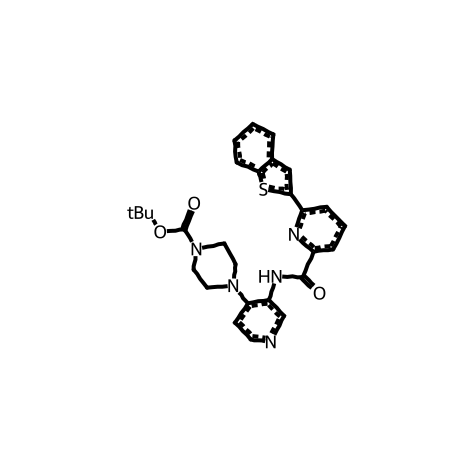 CC(C)(C)OC(=O)N1CCN(c2ccncc2NC(=O)c2cccc(-c3cc4ccccc4s3)n2)CC1